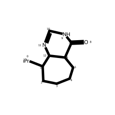 CC(C)C1CCCCC2C(=O)NC=NC21